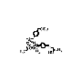 CC(C)COCc1ccc(CO[Si](C)(C)O[Si](C)(CCC(F)(F)F)O[Si](C)(C)OCc2ccc(COCC(C)O)cc2)cc1